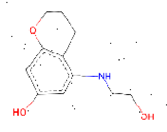 OCCNc1cc(O)cc2c1CCCO2